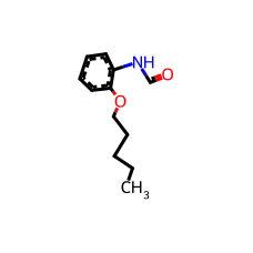 CCCCCOc1ccccc1NC=O